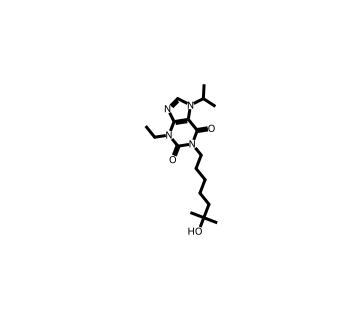 CCn1c(=O)n(CCCCCC(C)(C)O)c(=O)c2c1ncn2C(C)C